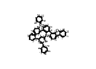 c1ccc(-c2cc(-n3c4ccc5c6ccccc6oc5c4c4ccc5c(c6ccccc6n5-c5ccccc5)c43)nc(-c3ccccc3)n2)cc1